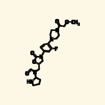 COCC(=O)N1CCN(c2ccc(N3CC(CN(C=O)[C@H]4CCCN4)OC3=O)cc2F)CC1